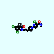 CN(C)C(=O)c1ccc(N2CCC(CCCN(C)C(=O)C(c3cc(Cl)cc(Cl)c3)C(F)(F)F)CC2)nc1Cl